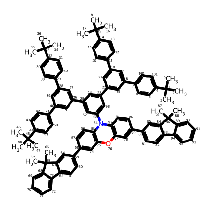 CC(C)(C)c1ccc(-c2cc(-c3ccc(C(C)(C)C)cc3)cc(-c3cc(-c4cc(-c5ccc(C(C)(C)C)cc5)cc(-c5ccc(C(C)(C)C)cc5)c4)cc(N4c5ccc(-c6ccc7c(c6)C(C)(C)c6ccccc6-7)cc5Oc5cc(-c6ccc7c(c6)C(C)(C)c6ccccc6-7)ccc54)c3)c2)cc1